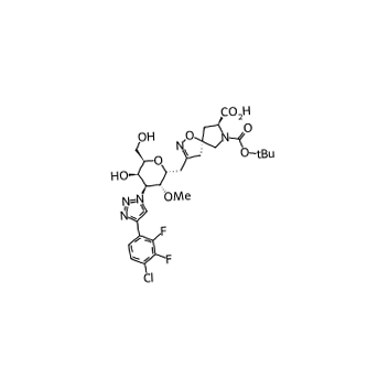 CO[C@@H]1[C@@H](n2cc(-c3ccc(Cl)c(F)c3F)nn2)[C@@H](O)[C@@H](CO)O[C@@H]1CC1=NO[C@@]2(C1)C[C@@H](C(=O)O)N(C(=O)OC(C)(C)C)C2